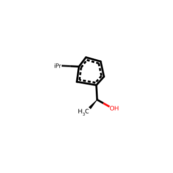 CC(C)c1cccc([C@H](C)O)c1